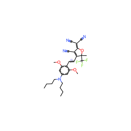 CCCCN(CCCC)c1cc(OC)c(/C=C/C2=C(C#N)C(=C(C#N)C#N)OC2(C)C(F)(F)F)c(OC)c1